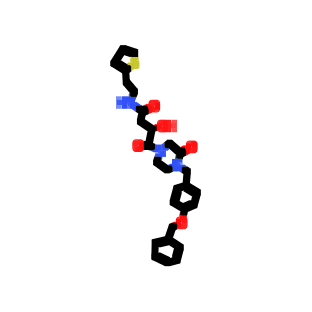 O=C(C[C@@H](O)C(=O)N1CCN(Cc2ccc(OCc3ccccc3)cc2)C(=O)C1)NCCc1cccs1